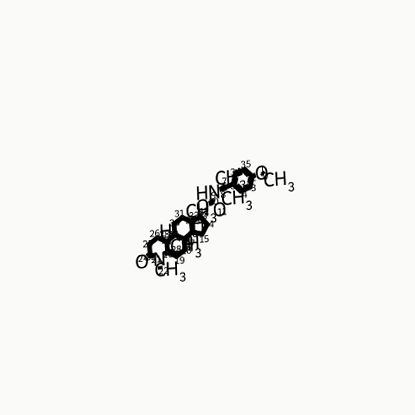 COc1ccc(C(C)(C)NC(=O)O[C@H]2CC[C@H]3[C@@H]4CC=C5N(C)C(=O)CC[C@]5(C)[C@H]4CC[C@]23C)cc1